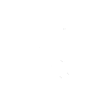 CC(C)c1cc2c(cc1OC1CCC1)N1C(=NNC(=O)[C@@H]1C)CO2